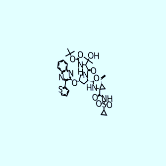 C=C[C@@H]1C[C@]1(NC(=O)[C@@H]1C[C@@H](Oc2nc3ccccc3nc2-c2cccs2)CN1C(=O)[C@@H](NC(=O)OC(C)(C)C)C(C)(C)O)C(=O)NS(=O)(=O)C1CC1